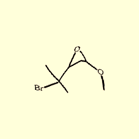 COC1OC1C(C)(C)Br